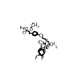 CCOC(Cc1ccc(OCCN(CC(C)C)C(=O)Nc2ccc(F)c(F)c2)cc1)C(=O)O